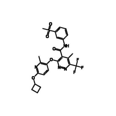 Cc1nc(OC2CCC2)ccc1Oc1nnc(C(F)(F)F)c(C)c1C(=O)Nc1cccc(S(C)(=O)=O)c1